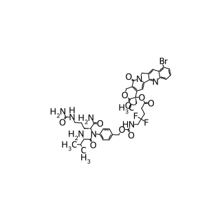 CC[C@@]1(OC(=O)CCC(F)(F)CNC(=O)OCc2ccc(N(C(=O)[C@@H](N)C(C)C)[C@@H](CCCNC(N)=O)C(N)=O)cc2)C(=O)OCc2c1cc1n(c2=O)Cc2cc3c(Br)cccc3nc2-1